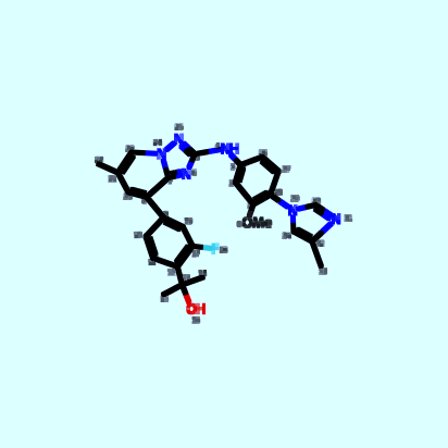 COc1cc(Nc2nc3c(-c4ccc(C(C)(C)O)c(F)c4)cc(C)cn3n2)ccc1-n1cnc(C)c1